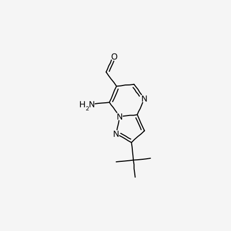 CC(C)(C)c1cc2ncc(C=O)c(N)n2n1